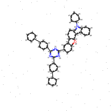 c1ccc(-c2ccc(-c3nc(-c4ccc(-c5ccccc5)cc4)nc(-c4ccc5oc6c(ccc7c6c6ccccc6n7-c6ccccc6)c5c4)n3)cc2)cc1